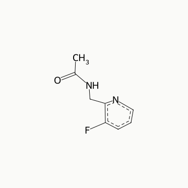 CC(=O)NCc1ncccc1F